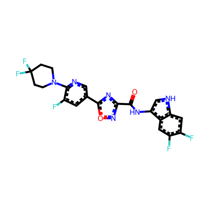 O=C(Nc1c[nH]c2cc(F)c(F)cc12)c1noc(-c2cnc(N3CCC(F)(F)CC3)c(F)c2)n1